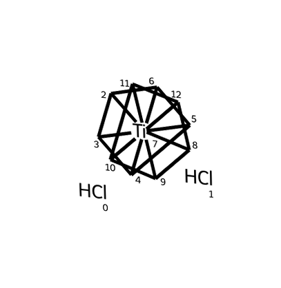 Cl.Cl.[CH]12[CH]3[CH]4[CH]5[CH]1[Ti]23451678[CH]2[CH]1[CH]6[CH]7[CH]28